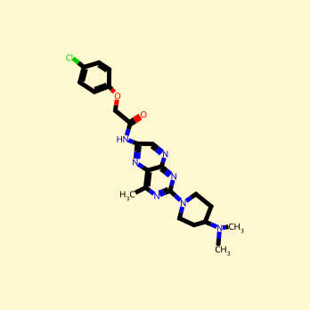 Cc1nc(N2CCC(N(C)C)CC2)nc2ncc(NC(=O)COc3ccc(Cl)cc3)nc12